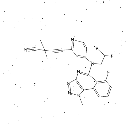 Cn1nnc2nc(N(CC(F)F)c3ccnc(C#CC(C)(C)C#N)c3)c3c(F)cccc3c21